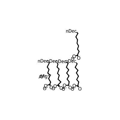 CCCCCCCCCCCCCCCCCC(=O)O[O-].CCCCCCCCCCCCCCCCCC(=O)O[O-].CCCCCCCCCCCCCCCCCC(=O)O[O-].CCCCCCCCCCCCCCCCCC(=O)O[O-].CCCCCCCCCCCCCCCCCC(=O)O[O-].[Al+3].[Mg+2]